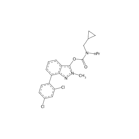 CCCN(CC1CC1)C(=O)Oc1c2cccc(-c3ccc(Cl)cc3Cl)c2nn1C